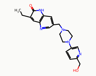 CCc1cc2ncc(CN3CCN(c4ccc(CO)nc4)CC3)cc2[nH]c1=O